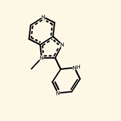 Cn1c(C2C=NC=CN2)nc2cnccc21